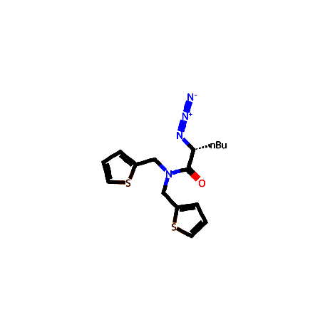 [CH2]CCC[C@@H](N=[N+]=[N-])C(=O)N(Cc1cccs1)Cc1cccs1